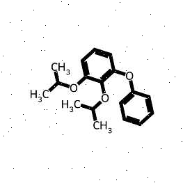 CC(C)Oc1cccc(Oc2ccccc2)c1OC(C)C